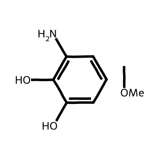 COC.Nc1cccc(O)c1O